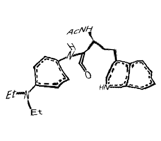 CCN(CC)c1ccc(NC(=O)[C@H](Cc2c[nH]c3ccccc23)NC(C)=O)cc1